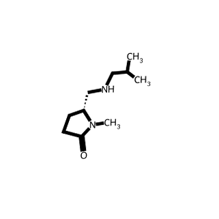 CC(C)CNC[C@H]1CCC(=O)N1C